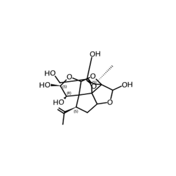 C=C(C)[C@@H]1CC2OC(O)C34OC5O[C@H](O)[C@H](O)C51C23CC(CO)OC(O)[C@H]4C